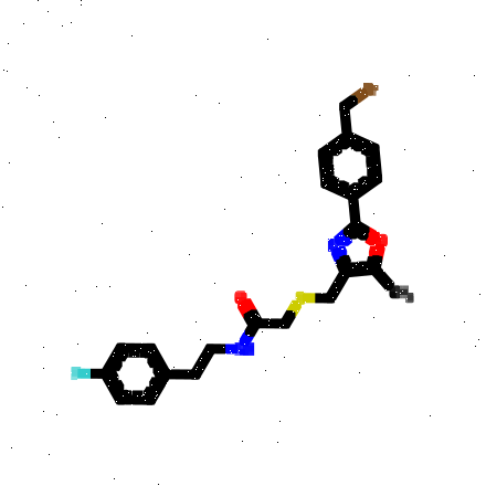 Cc1oc(-c2ccc(CBr)cc2)nc1CSCC(=O)NCCc1ccc(F)cc1